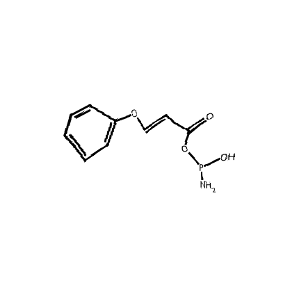 NP(O)OC(=O)C=COc1ccccc1